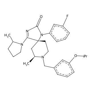 CC(C)Oc1cccc(CN2CC[C@@]3(C[C@@H]2C)C(N2CCCC2C)=NC(=O)N3c2cccc(F)c2)c1